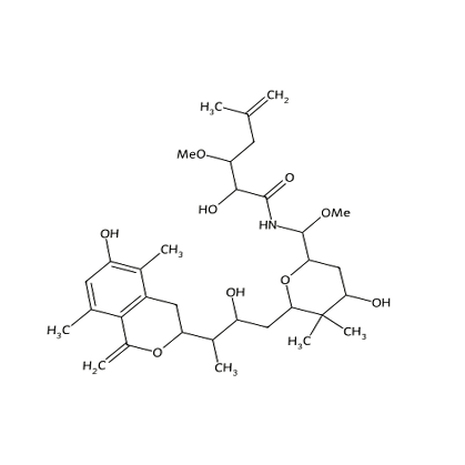 C=C(C)CC(OC)C(O)C(=O)NC(OC)C1CC(O)C(C)(C)C(CC(O)C(C)C2Cc3c(C)c(O)cc(C)c3C(=C)O2)O1